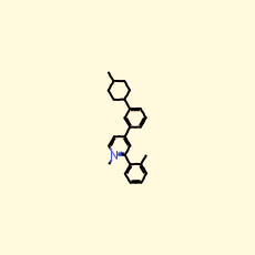 Cc1ccccc1-c1cc(-c2cccc(C3CCC(C)CC3)c2)cc[n+]1C